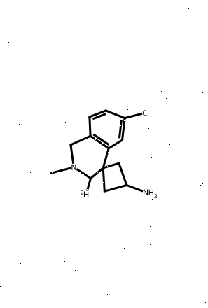 [2H]C1N(C)Cc2ccc(Cl)cc2C12CC(N)C2